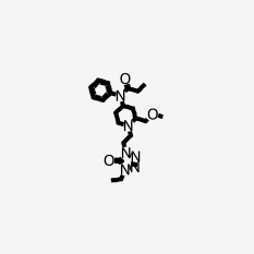 CCC(=O)N(c1ccccc1)C1CCN(CCn2nnn(CC)c2=O)C(COC)C1